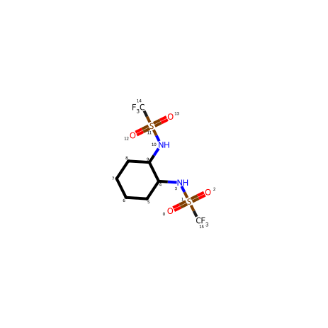 O=S(=O)(NC1CCCCC1NS(=O)(=O)C(F)(F)F)C(F)(F)F